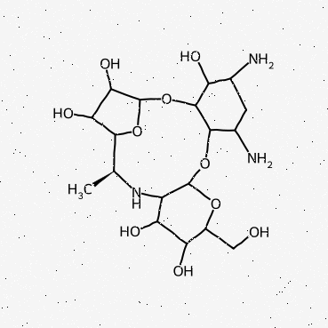 C[C@@H]1NC2C(OC(CO)C(O)C2O)OC2C(N)CC(N)C(O)C2OC2OC1C(O)C2O